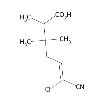 CC(C(=O)O)C(C)(C)C/C=C(\Cl)C#N